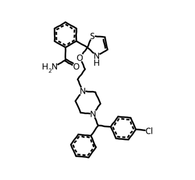 NC(=O)c1ccccc1C1(OCCN2CCN(C(c3ccccc3)c3ccc(Cl)cc3)CC2)NC=CS1